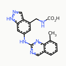 Cc1cccc2cnc(Nc3cc(CNC(=O)O)c4cn[nH]c4c3)nc12